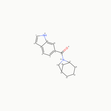 O=C(c1ccc2cc[nH]c2c1)N1CC2CCCC1C2